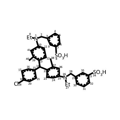 CCN(Cc1cccc(S(=O)(=O)O)c1)c1ccc(C(c2ccc(Cl)cc2)c2ccc(N(CC)Cc3cccc(S(=O)(=O)O)c3)cc2C)c(C)c1